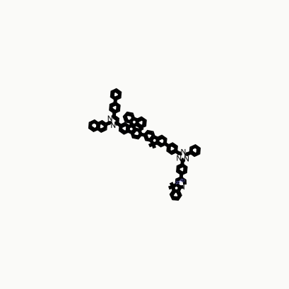 C/C=C(\C=C1/C(I)c2ccccc2C1(C)C)c1ccc(-c2nc(C3=CC=CCC3)nc(-c3ccc(C4C=C5C(=CC4)c4ccc(C6C=CC7=C(C6C)C6(c8cc(-c9cc(-c%10ccc(-c%11ccccc%11)cc%10)nc(-c%10ccc%11c(c%10)CCC=C%11)n9)ccc87)c7ccccc7C7C=CC=CC76)cc4C5(C)C)cc3)n2)cc1